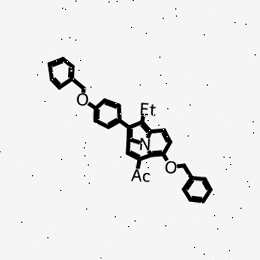 CCc1c(-c2ccc(OCc3ccccc3)cc2)c2cc(C(C)=O)c3c(OCc4ccccc4)ccc1n23